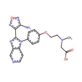 CN(CCOc1ccc(-n2c(-c3nonc3N)nc3cnccc32)cc1)CC(=O)O